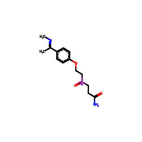 C/N=C(\C)c1ccc(OCC[PH](=O)CCC(N)=O)cc1